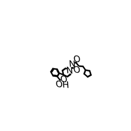 O=C1N=C(N2CCC3(CC2)OC(O)c2ccccc23)OC1CC1CCCC1